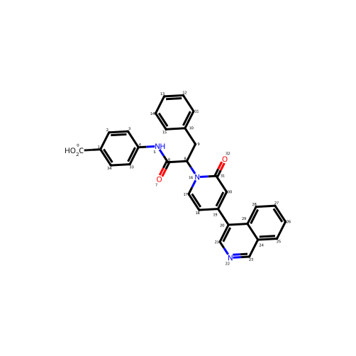 O=C(O)c1ccc(NC(=O)C(Cc2ccccc2)n2ccc(-c3cncc4ccccc34)cc2=O)cc1